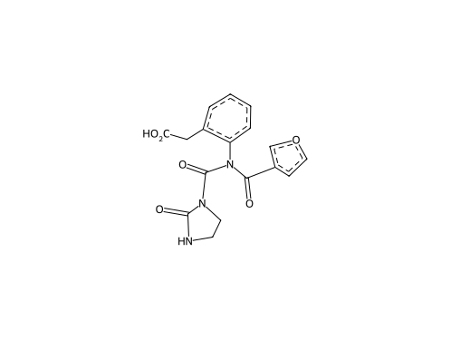 O=C(O)Cc1ccccc1N(C(=O)c1ccoc1)C(=O)N1CCNC1=O